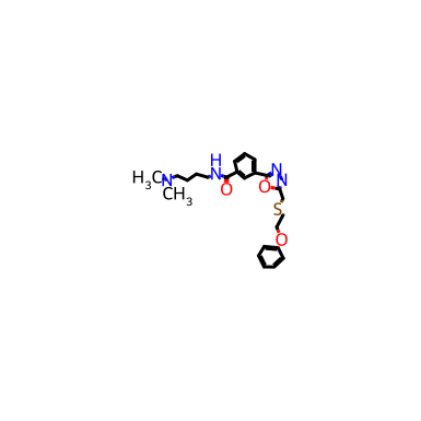 CN(C)CCCCNC(=O)c1cccc(-c2nnc(CSCCOc3ccccc3)o2)c1